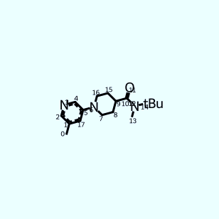 Cc1cncc(N2CCC(C(=O)N(C)C(C)(C)C)CC2)c1